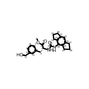 COC(=O)[C@@H](Cc1cccc(CO)c1)NC(=O)Nc1c2c(cc3c1CCC3)CCC2